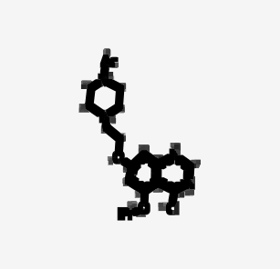 CC(=O)N1CCN(CCOc2cc(OC(C)C)c3c(Cl)ncnc3c2)CC1